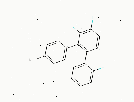 CCCCCCc1ccc(-c2c(-c3ccccc3F)ccc(F)c2F)cc1